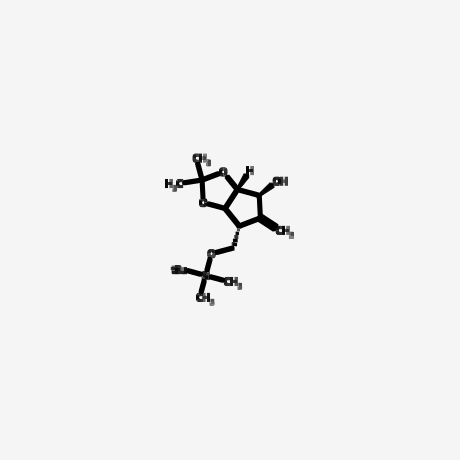 C=C1[C@H](CO[Si](C)(C)C(C)(C)C)C2OC(C)(C)O[C@@H]2[C@H]1O